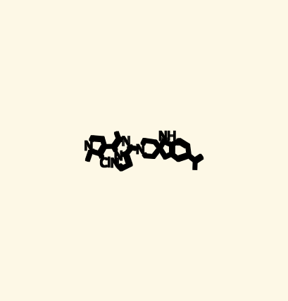 C=C(C)c1ccc2c(c1)CC1(CCN(c3nc(C)c(-c4ccnc(C)c4Cl)n4nccc34)CC1)[C@@H]2N